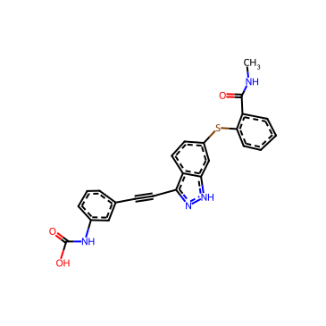 CNC(=O)c1ccccc1Sc1ccc2c(C#Cc3cccc(NC(=O)O)c3)n[nH]c2c1